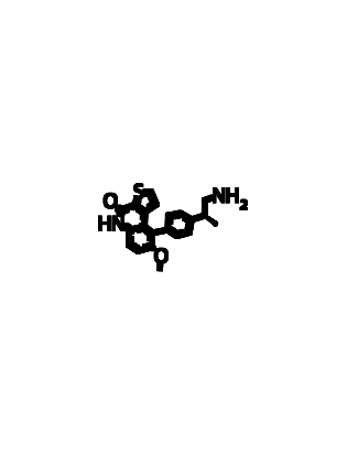 COc1ccc2[nH]c(=O)c3sccc3c2c1-c1ccc([C@H](C)CN)cc1